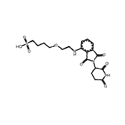 O=C1CCC(N2C(=O)c3cccc(NCCOCCCCS(=O)(=O)O)c3C2=O)C(=O)N1